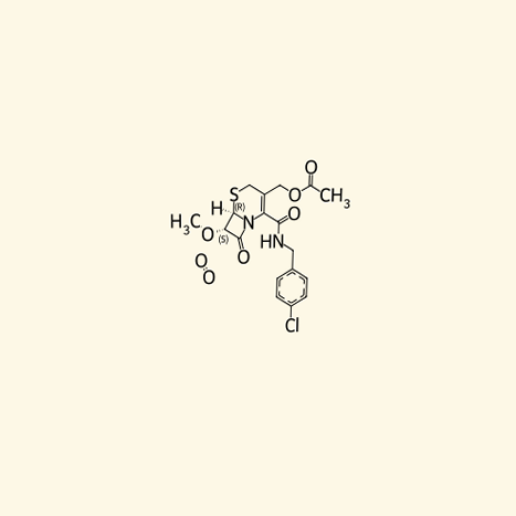 CO[C@H]1C(=O)N2C(C(=O)NCc3ccc(Cl)cc3)=C(COC(C)=O)CS[C@H]12.O=O